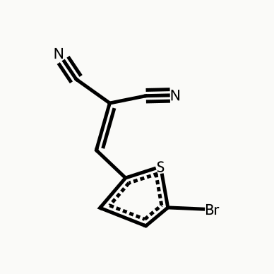 N#CC(C#N)=Cc1ccc(Br)s1